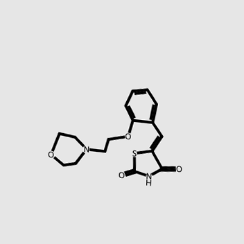 O=C1NC(=O)C(=Cc2ccccc2OCCN2CCOCC2)S1